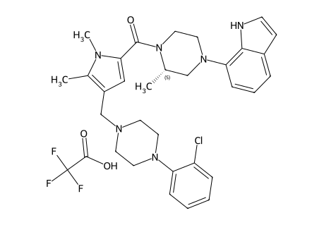 Cc1c(CN2CCN(c3ccccc3Cl)CC2)cc(C(=O)N2CCN(c3cccc4cc[nH]c34)C[C@@H]2C)n1C.O=C(O)C(F)(F)F